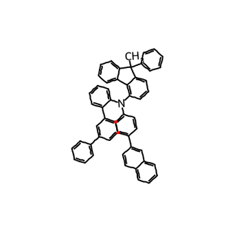 CC1(c2ccccc2)c2ccccc2-c2c(N(c3ccc(-c4ccc5ccccc5c4)cc3)c3ccccc3-c3cccc(-c4ccccc4)c3)cccc21